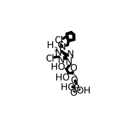 CN(Cc1ccccc1Cl)c1nc(Cl)nc2c1ncn2C1O[C@H](COCP(=O)(O)O)[C@@H](O)[C@H]1O